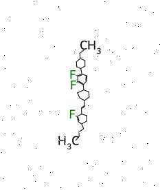 CCCCC1C=C(F)C(/C=C/C2CCC(c3ccc(C4CCC(CCC)CC4)c(F)c3F)CC2)CC1